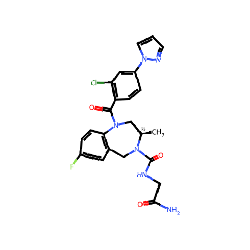 C[C@@H]1CN(C(=O)c2ccc(-n3cccn3)cc2Cl)c2ccc(F)cc2CN1C(=O)NCC(N)=O